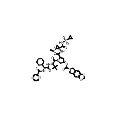 C=C[C@H]1C[C@@]1(NC(=O)C1C[C@@H](OC(=O)N2Cc3cc4c(cc3C2)OCO4)CN1C(=O)[C@@H](NC(=O)[C@@H](NC(=O)c1cnccn1)C1CCCCC1)C(C)(C)C)C(=O)NS(=O)(=O)C1CC1